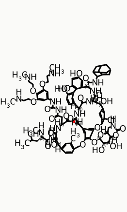 CNCCOc1cc(NC(=O)NC(=O)C[C@@H]2NC(=O)[C@H](NC(=O)[C@@H](CC(C)C)NC)[C@H](O)c3ccc(c(C)c3)Oc3cc4cc(c3O[C@@H]3O[C@@H]5CNC(=O)O[C@H]5[C@H](O)[C@H]3O)Oc3ccc(cc3Cl)[C@@H](O)[C@@H]3NC(=O)[C@H](NC(=O)[C@@H]4NC2=O)c2ccc(O)c(c2)-c2c(O)cc(O)cc2[C@@H](C(=O)NC2C4CC5CC(C4)CC2C5)NC3=O)cc(OCCNC)c1OCCNC